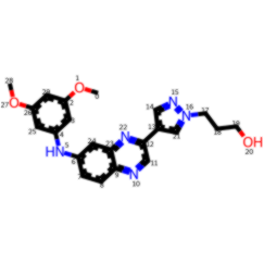 COc1cc(Nc2ccc3ncc(-c4cnn(CCCO)c4)nc3c2)cc(OC)c1